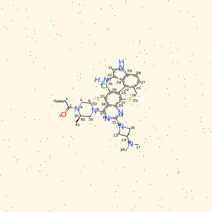 C=CC(=O)N1C[C@H](C)N(c2nc(N3CC(N(C)C)C3)nc3c(F)c(-c4c(C)ccc5[nH]cc(N)c45)c(Cl)cc23)C[C@H]1C